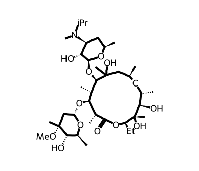 CC[C@H]1OC(=O)[C@H](C)[C@@H](O[C@H]2C[C@@](C)(OC)[C@@H](O)[C@H](C)O2)[C@H](C)[C@@H](O[C@@H]2O[C@H](C)C[C@H](N(C)C(C)C)[C@H]2O)C(C)(O)C[C@@H](C)C[C@H](C)[C@@H](O)[C@]1(C)O